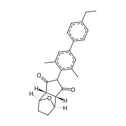 CCc1ccc(-c2cc(C)c(C3C(=O)[C@@H]4[C@H](C3=O)[C@H]3CC[C@@H]4O3)c(C)c2)cc1